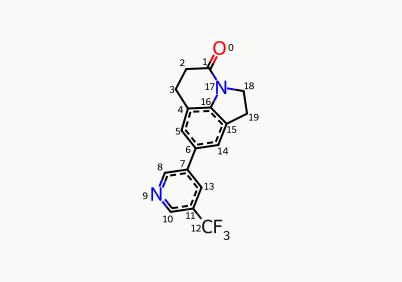 O=C1CCc2cc(-c3cncc(C(F)(F)F)c3)cc3c2N1CC3